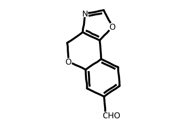 O=Cc1ccc2c(c1)OCc1ncoc1-2